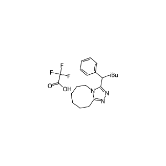 CCC(C)C(c1ccccc1)c1nnc2n1CCCCCC2.O=C(O)C(F)(F)F